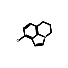 Clc1ccc2c3c1[c]cn3CCC2